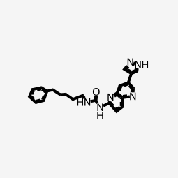 O=C(NCCCCCc1ccccc1)Nc1ccc2ncc(-c3cn[nH]c3)cc2n1